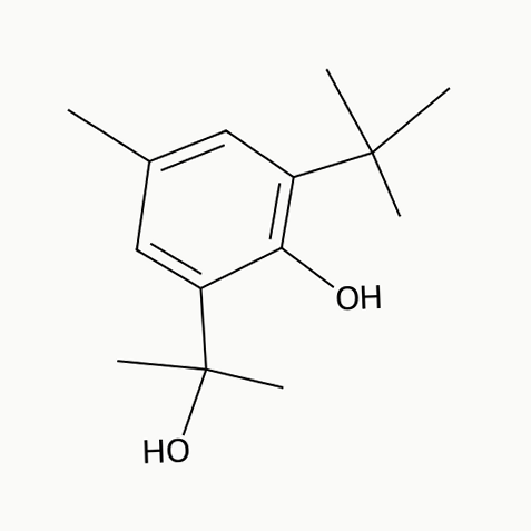 Cc1cc(C(C)(C)C)c(O)c(C(C)(C)O)c1